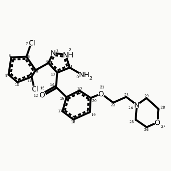 Nc1[nH]nc(-c2c(Cl)cccc2Cl)c1C(=O)c1cccc(OCCN2CCOCC2)c1